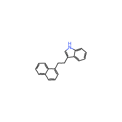 c1ccc2c(CCc3c[nH]c4ccccc34)cccc2c1